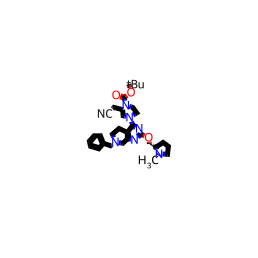 CN1CCC[C@H]1COc1nc2c(c(N3CCN(C(=O)OC(C)(C)C)C(CC#N)C3)n1)CCN(Cc1ccccc1)C2